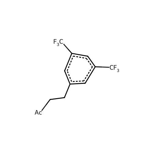 CC(=O)CCc1cc(C(F)(F)F)cc(C(F)(F)F)c1